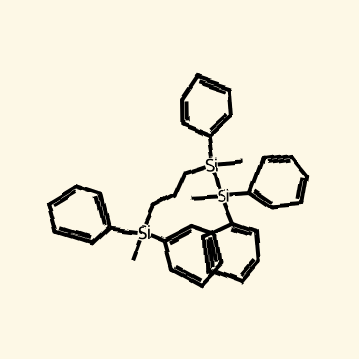 C[Si](CCC[Si](C)(c1ccccc1)[Si](C)(c1ccccc1)c1ccccc1)(c1ccccc1)c1ccccc1